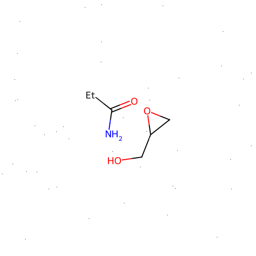 CCC(N)=O.OCC1CO1